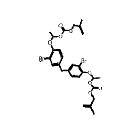 C=C(C)COC(=O)OC(C)Oc1ccc(Cc2ccc(OC(C)OC(=O)OCC(=C)C)c(Br)c2)cc1Br